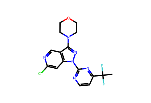 CC(F)(F)c1ccnc(-n2nc(N3CCOCC3)c3cnc(Cl)cc32)n1